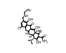 CN(C)[C@@H]1C(O)=C(C(N)=O)C(=O)[C@@]2(O)C(O)=C3C(=O)c4c(O)c(CNCC(C)(C)C)cc(Cl)c4C[C@H]3C[C@@H]12